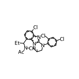 CCC(c1ccc(Cl)c2nc3n(c12)CCCN3c1ccc(Cl)cc1Cl)N(C)C(C)=O